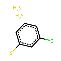 S.S.Sc1cccc(Cl)c1